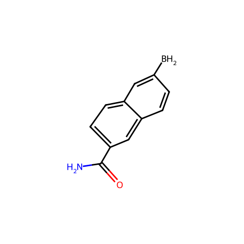 Bc1ccc2cc(C(N)=O)ccc2c1